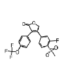 CS(=O)(=O)c1ccc(C2=C(c3ccc(OC(F)(F)F)cc3)C(=O)OC2)cc1F